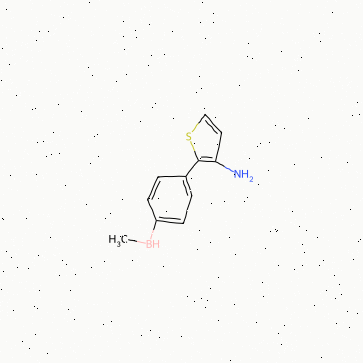 CBc1ccc(-c2sccc2N)cc1